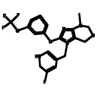 CN1COCc2c1nc(Oc1cccc(OC(F)(F)F)c1)n2CC1=CNCC(F)=C1